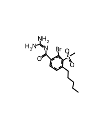 CCCCCc1ccc(C(=O)N=C(N)N)c(Br)c1S(C)(=O)=O